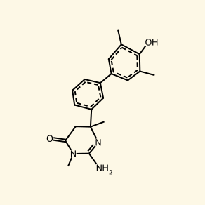 Cc1cc(-c2cccc(C3(C)CC(=O)N(C)C(N)=N3)c2)cc(C)c1O